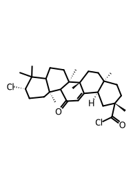 CC1(C)C2CC[C@]3(C)C(C(=O)C=C4[C@@H]5C[C@@](C)(C(=O)Cl)CC[C@]5(C)CC[C@]43C)[C@@]2(C)CC[C@@H]1Cl